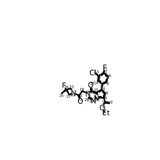 C=C(OCC)c1cc(-c2ccc(F)c(Cl)c2)c2c(=O)n(CC(=O)N3CC(C)(F)C3)cnn12